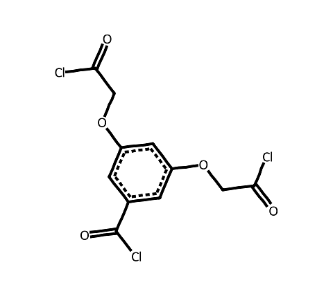 O=C(Cl)COc1cc(OCC(=O)Cl)cc(C(=O)Cl)c1